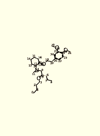 CCCCO[C@@H](CCC)CN(C)[C@@H]1CCCC[C@H]1OCCc1ccc(OC)c(OC)c1